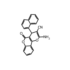 N#CC1=C(N)Oc2c(c(=O)oc3ccccc23)C1c1cccc2ccccc12